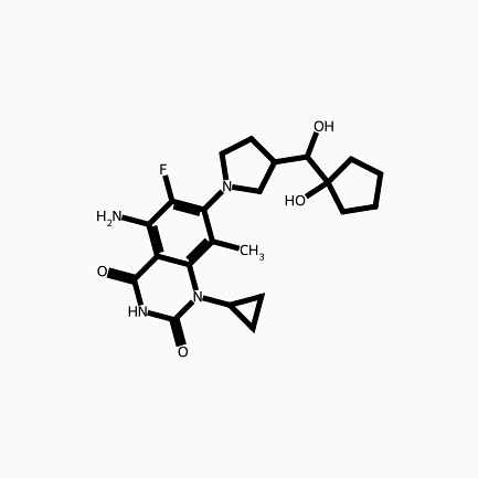 Cc1c(N2CCC(C(O)C3(O)CCCC3)C2)c(F)c(N)c2c(=O)[nH]c(=O)n(C3CC3)c12